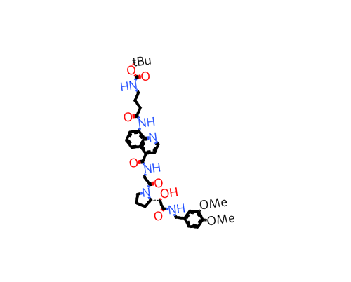 COc1ccc(CNC(=O)C(O)[C@@H]2CCCN2C(=O)CNC(=O)c2ccnc3c(NC(=O)CCCNC(=O)OC(C)(C)C)cccc23)cc1OC